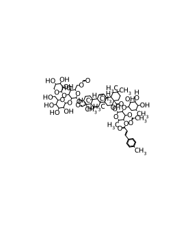 CC(=O)OC1C(OC(=O)/C=C/c2ccc(C)cc2)C(C)OC(OC(=O)[C@]23CCC(C)(C)C[C@H]2C2C=C[C@@H]4[C@@]5(C)CC[C@H](OC6OC(COC=O)C(O)C(OC7OCC(O)C(O)C7O)C6OC6OC(CO)C(O)C(O)C6O)[C@@](C)(C=O)[C@@H]5CC[C@@]4(C)[C@]2(C)C[C@H]3O)C1OC1CC(C)C(O)C(O)C1O